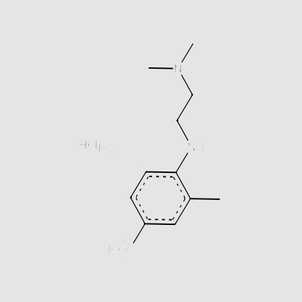 Cc1cc(C(=O)O)ccc1NCCN(C)C.Cl.Cl